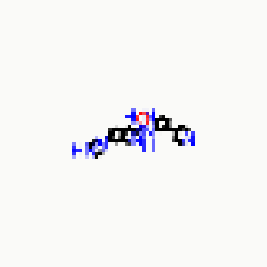 Nc1ccc(-c2ccncc2)cc1NC(=O)c1cc2ccc(N3CCNCC3)cc2cn1